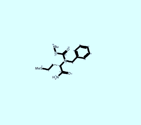 CSCC[C@@H](C(N)=O)N(Cc1ccccc1)C(=O)OC(C)(C)C